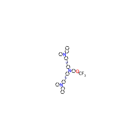 FC(F)(F)COc1ccc(N(c2ccc(/C=C/c3ccc(N(c4ccccc4)c4ccc5ccccc5c4)cc3)cc2)c2ccc(/C=C/c3ccc(N(c4ccccc4)c4ccc5ccccc5c4)cc3)cc2)cc1